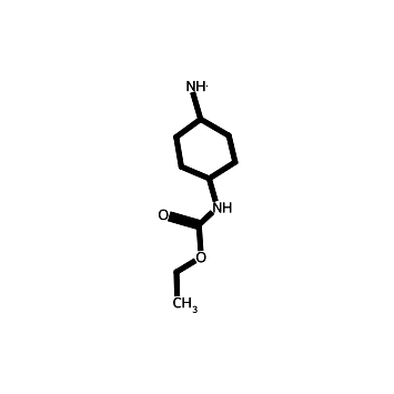 CCOC(=O)NC1CCC([NH])CC1